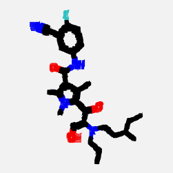 CCCN(CCC(C)CC)/C(=C\O)C(=O)c1c(C)c(C(=O)Nc2ccc(F)c(C#N)c2)c(C)n1C